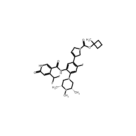 C[C@@H]1CN(c2cc(F)c(C3=CCN(C(=O)OC4(C)CCC4)C3)cc2NC(=O)c2c[nH]c(=O)cc2C(F)F)C[C@H](C)N1C